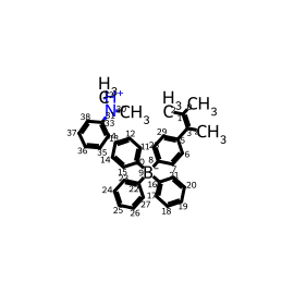 CC(C)=C(C)c1ccc([B-](c2ccccc2)(c2ccccc2)c2ccccc2)cc1.C[NH+](C)c1ccccc1